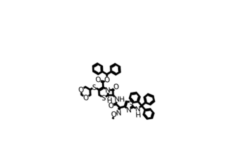 CO/N=C(\C(=O)NC1C(=O)N2C(C(=O)OC(c3ccccc3)c3ccccc3)=C(SC3COCOC3)CS[C@H]12)c1csc(NC(c2ccccc2)(c2ccccc2)c2ccccc2)n1